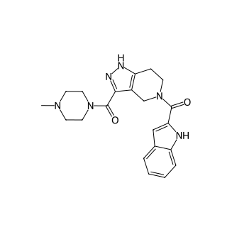 CN1CCN(C(=O)c2n[nH]c3c2CN(C(=O)c2cc4ccccc4[nH]2)CC3)CC1